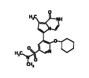 Cc1cc(-c2cc(S(=O)(=O)N(C)C)cnc2OC2CCCCC2)n2cc[nH]c(=O)c12